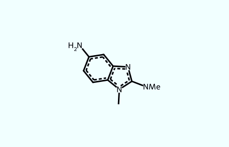 CNc1nc2cc(N)ccc2n1C